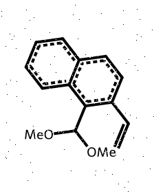 C=Cc1ccc2ccccc2c1C(OC)OC